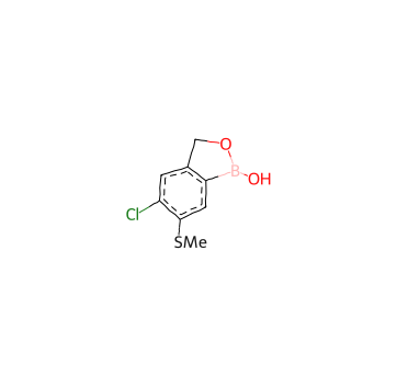 CSc1cc2c(cc1Cl)COB2O